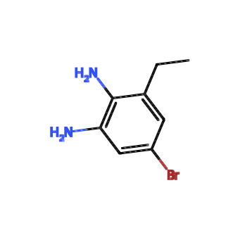 CCc1cc(Br)cc(N)c1N